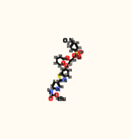 CN(C(=O)OC(C)(C)C)c1ccc(-c2nc3ccc(OCC(COS(=O)(=O)c4ccc([N+](=O)[O-])cc4)OC4CCCCO4)cc3s2)cn1